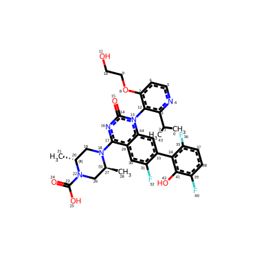 CC(C)c1nccc(OCCO)c1-n1c(=O)nc(N2C[C@@H](C)N(C(=O)O)C[C@@H]2C)c2cc(F)c(-c3c(F)ccc(F)c3O)cc21